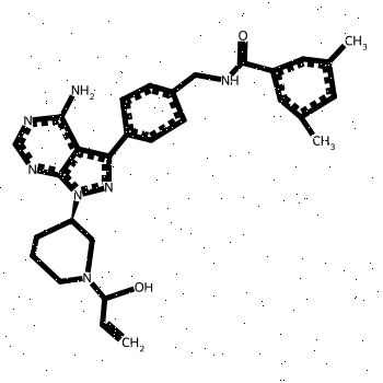 C=CC(O)N1CCC[C@@H](n2nc(-c3ccc(CNC(=O)c4cc(C)cc(C)c4)cc3)c3c(N)ncnc32)C1